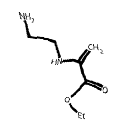 C=C(NCCN)C(=O)OCC